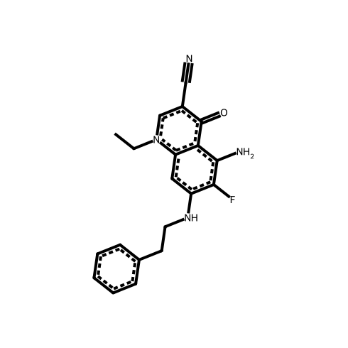 CCn1cc(C#N)c(=O)c2c(N)c(F)c(NCCc3ccccc3)cc21